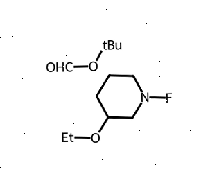 CC(C)(C)OC=O.CCOC1CCCN(F)C1